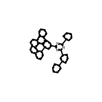 c1ccc(-c2cccc(-c3nc(-c4ccccc4)nc(-c4cccc(-c5cccc6ccc7ccc8c9ccccc9ccc8c7c56)c4)n3)c2)cc1